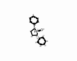 O=[PH]1[C@H](c2ccccc2)CC[C@H]1c1ccccc1